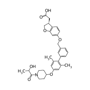 Cc1cc(OC2CCN(C(=O)C(C)O)CC2)cc(C)c1-c1cccc(COc2ccc3c(c2)OC[C@H]3CC(=O)O)c1